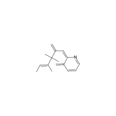 C=C(/C=c1/ncccc1=C)C(C)(C)/C(C)=C/C